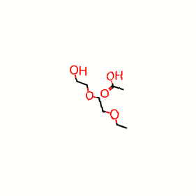 CC(=O)O.CCOCCOCCO